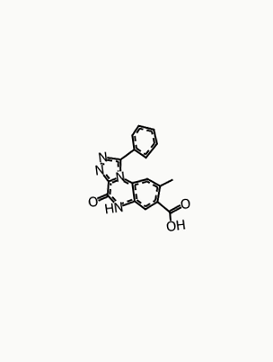 Cc1cc2c(cc1C(=O)O)[nH]c(=O)c1nnc(-c3ccccc3)n12